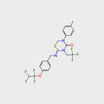 Cc1ccc(N2CSC(=NCc3ccc(OC(F)(F)C(F)F)cc3)N(CC(F)(F)F)C2=O)cc1